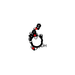 CO[C@H]1/C=C/O[C@@]2(C)Oc3c(C)c(O)c4c(=O)c(c5oc6cc(OCC[N+]7(C(C)(C)C)CCCCC7)ccc6nc-5c4c3C2=O)NC(=O)/C(C)=C\C=C\[C@H](C)[C@H](O)[C@@H](C)[C@@H](C)[C@@H](C)[C@H](OC(C)=O)[C@@H]1C